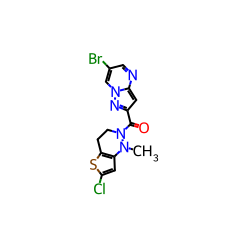 CN1c2cc(Cl)sc2CCN1C(=O)c1cc2ncc(Br)cn2n1